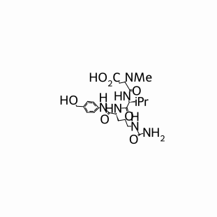 CN[C@@H](CC(=O)O)C(=O)N[C@H](C(=O)N[C@@H](CCCNC(N)=O)C(=O)Nc1ccc(CO)cc1)C(C)C